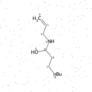 C=CCNC(O)CCCCCC